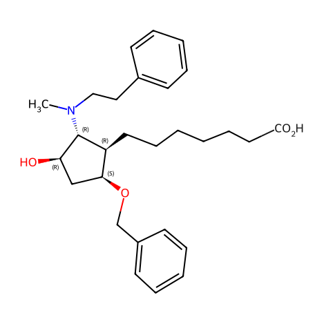 CN(CCc1ccccc1)[C@@H]1[C@@H](CCCCCCC(=O)O)[C@@H](OCc2ccccc2)C[C@H]1O